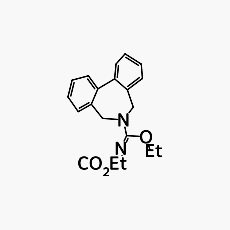 CCOC(=O)/N=C(\OCC)N1Cc2ccccc2-c2ccccc2C1